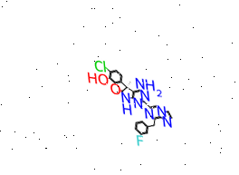 C[C@@]1(c2ccc(Cl)c(O)c2)C(=O)Nc2nc(-c3cn4ccnc4c(Cc4cccc(F)c4)n3)nc(N)c21